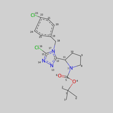 CC(C)(C)OC(=O)N1CCCC1c1nnc(Cl)n1Cc1ccc(Cl)cc1